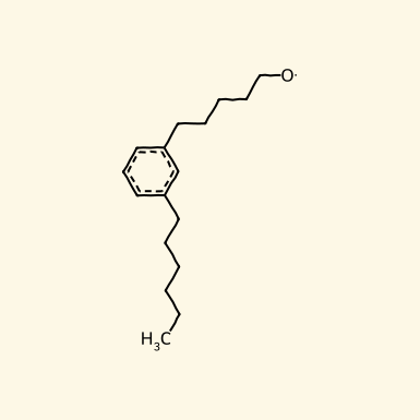 CCCCCCc1cccc(CCCCC[O])c1